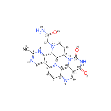 N#Cc1ncc(-c2ccc3ncc4c(=O)[nH]c(=O)n(C5CCN(CC(N)=O)CC5)c4c3n2)cn1